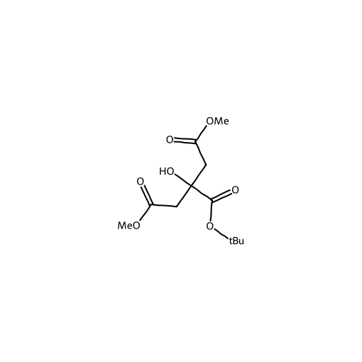 COC(=O)CC(O)(CC(=O)OC)C(=O)OC(C)(C)C